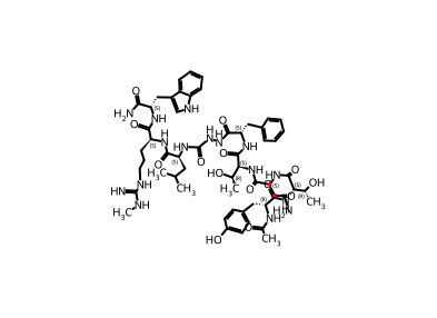 CNC(=N)NCCC[C@H](NC(=O)[C@H](CC(C)C)NC(=O)NNC(=O)[C@H](Cc1ccccc1)NC(=O)[C@@H](NC(=O)[C@H](CC(N)=O)NC(=O)[C@@H](NC(=O)[C@@H](Cc1ccc(O)cc1)NC(C)=O)[C@@H](C)O)[C@@H](C)O)C(=O)N[C@@H](Cc1c[nH]c2ccccc12)C(N)=O